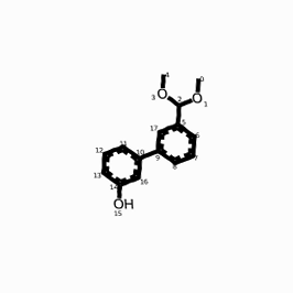 COC(OC)c1cccc(-c2cccc(O)c2)c1